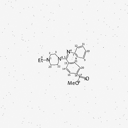 CCN1CCN(C(=Nc2ccccc2)c2ccc(C(=O)OC)cc2)CC1